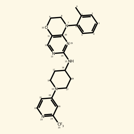 Cc1ccccc1N1CCOc2cnc(NC3CCN(c4ccnc(C(F)(F)F)c4)CC3)nc21